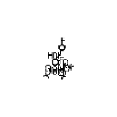 CC(C)(C)CC(=O)Nc1ccc(NCc2ccc(F)cc2)c(F)c1N(C(=O)OC(C)(C)C)C(=O)OC(C)(C)C